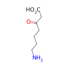 NCCCCC(=O)CC(=O)O